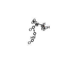 CS(=O)(=O)N1CCc2c(c(-c3ccc(Cl)c(C#Cc4ccc(CNCc5ccc(Cl)cc5)cc4)c3)nn2CCCN2C[C@H]3C[C@@H]2CN3C(=O)O)C1